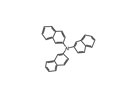 c1ccc2c[c]([Al]([c]3ccc4ccccc4c3)[c]3ccc4ccccc4c3)ccc2c1